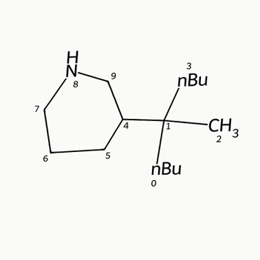 CCCCC(C)(CCCC)C1CCCNC1